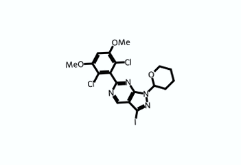 COc1cc(OC)c(Cl)c(-c2ncc3c(I)nn(C4CCCCO4)c3n2)c1Cl